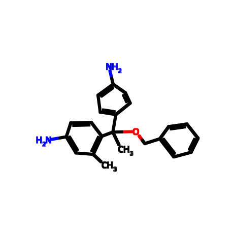 Cc1cc(N)ccc1C(C)(OCc1ccccc1)c1ccc(N)cc1